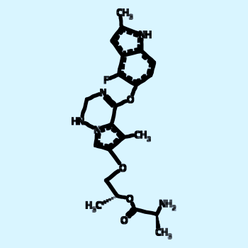 Cc1cc2c(F)c(OC3=NCNn4cc(OC[C@@H](C)OC(=O)[C@H](C)N)c(C)c43)ccc2[nH]1